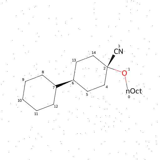 CCCCCCCCO[C@]1(C#N)CC[C@@H](C2CCCCC2)CC1